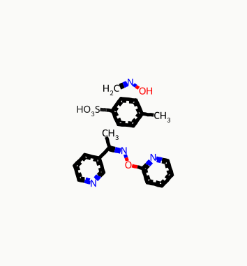 C=NO.CC(=NOc1ccccn1)c1cccnc1.Cc1ccc(S(=O)(=O)O)cc1